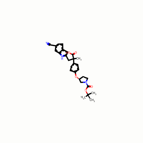 CC(C)(C)OC(=O)N1CC[C@H](Oc2ccc(C(C)(Cc3cc4ccc(C#N)cc4[nH]3)C(=O)O)cc2)C1